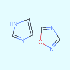 c1c[nH]cn1.c1ncon1